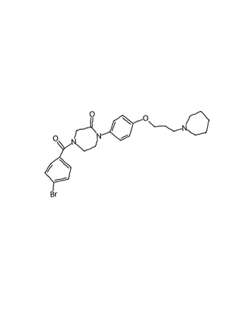 O=C(c1ccc(Br)cc1)N1CCN(c2ccc(OCCCN3CCCCC3)cc2)C(=O)C1